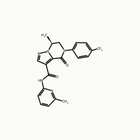 Cc1cccc(NC(=O)c2cnn3c2C(=O)N(c2ccc(C(F)(F)F)cc2)C[C@@H]3C)n1